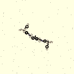 CCCC(OCC1CCC2OC2C1)Oc1ccc(/C=C/C(=O)Oc2ccc3c(c2)C(C)c2cc(OC(=O)/C=C/c4ccc(OC(CCC)OCC5CCC6OC6C5)cc4)ccc2-3)cc1